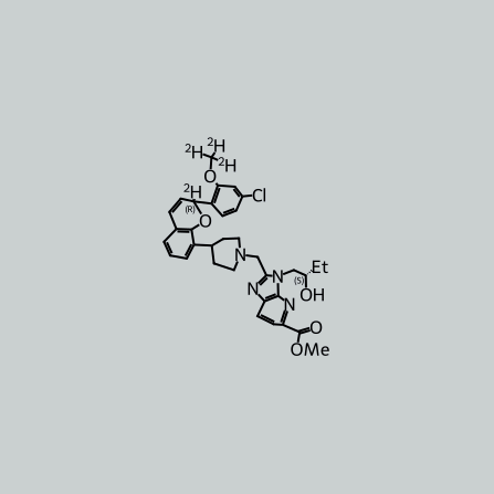 [2H]C([2H])([2H])Oc1cc(Cl)ccc1[C@@]1([2H])C=Cc2cccc(C3CCN(Cc4nc5ccc(C(=O)OC)nc5n4C[C@@H](O)CC)CC3)c2O1